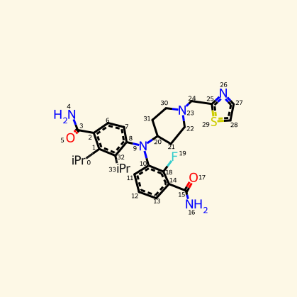 CC(C)c1c(C(N)=O)ccc(N(c2cccc(C(N)=O)c2F)C2CCN(Cc3nccs3)CC2)c1C(C)C